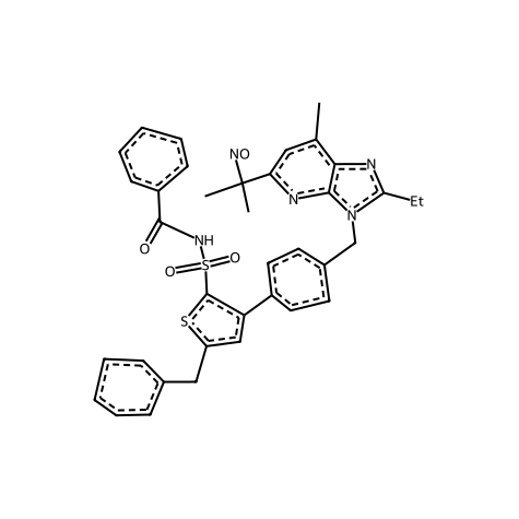 CCc1nc2c(C)cc(C(C)(C)N=O)nc2n1Cc1ccc(-c2cc(Cc3ccccc3)sc2S(=O)(=O)NC(=O)c2ccccc2)cc1